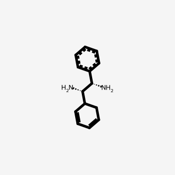 N[C@@H](c1ccccc1)[C@@H](N)C1C=CC=CC1